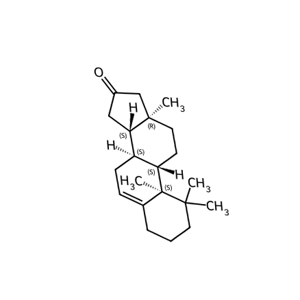 CC1(C)CCCC2=CC[C@H]3[C@@H]4CC(=O)C[C@@]4(C)CC[C@@H]3[C@]21C